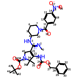 C/N=C(/NC1CCCN(C(=O)c2ccc([N+](=O)[O-])cc2)C1)C1=C(NC(=O)OCc2ccccc2)C(C)(C)N(C(=O)OC(C)(C)C)C1